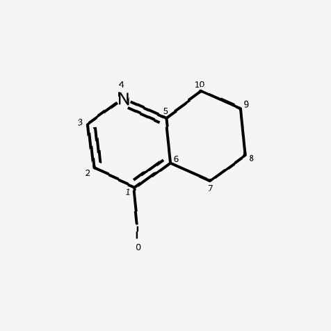 Ic1ccnc2c1CCCC2